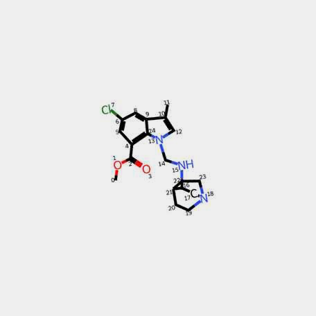 COC(=O)c1cc(Cl)cc2c(C)cn(CNC3CN4CCC3CC4)c12